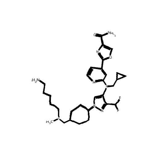 CN(CCCCCN)CC1CCC(n2cc(N(CC3CC3)c3cc(-c4nc(C(N)=O)co4)ccn3)c(C(F)F)n2)CC1